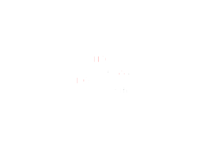 CC(O)C(=O)O.[Tb]